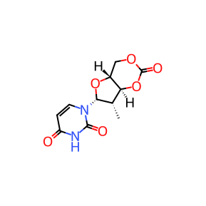 C[C@H]1[C@@H]2OC(=O)OC[C@H]2O[C@H]1n1ccc(=O)[nH]c1=O